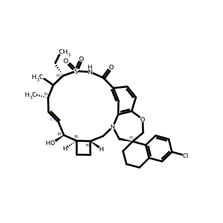 CC[C@H]1C(C)[C@@H](C)/C=C/[C@H](O)[C@@H]2CC[C@H]2CN2C[C@@]3(CCCc4cc(Cl)ccc43)COc3ccc(cc32)C(=O)NS1(=O)=O